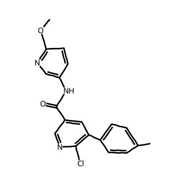 COc1ccc(NC(=O)c2cnc(Cl)c(-c3ccc(C)cc3)c2)cn1